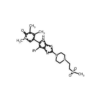 Cc1c(-c2[nH]c3sc(N4CCN(CCS(C)(=O)=O)CC4)nc3c2C(C)C)cn(C)c(=O)c1C